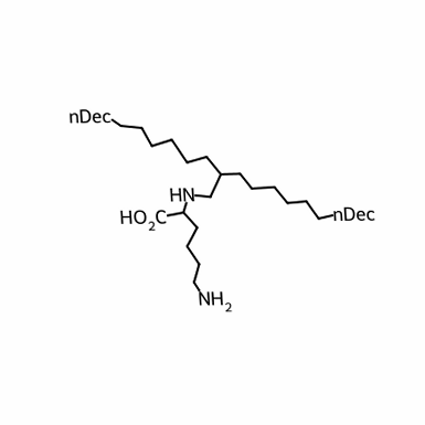 CCCCCCCCCCCCCCCCC(CCCCCCCCCCCCCCCC)CNC(CCCCN)C(=O)O